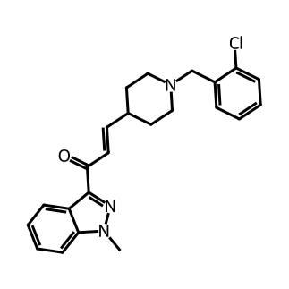 Cn1nc(C(=O)C=CC2CCN(Cc3ccccc3Cl)CC2)c2ccccc21